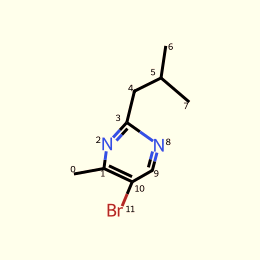 Cc1nc(CC(C)C)ncc1Br